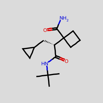 CC(C)(C)NC(=O)[C@H](CC1CC1)C1(C(N)=O)CCC1